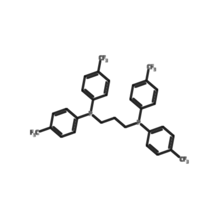 FC(F)(F)c1ccc(P(CCCP(c2ccc(C(F)(F)F)cc2)c2ccc(C(F)(F)F)cc2)c2ccc(C(F)(F)F)cc2)cc1